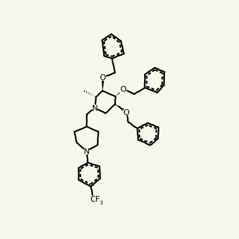 C[C@@H]1[C@@H](OCc2ccccc2)[C@H](OCc2ccccc2)[C@@H](OCc2ccccc2)CN1CC1CCN(c2ccc(C(F)(F)F)cc2)CC1